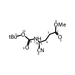 COC(=O)CC[C@@H](C#N)NC(=O)OC(C)(C)C